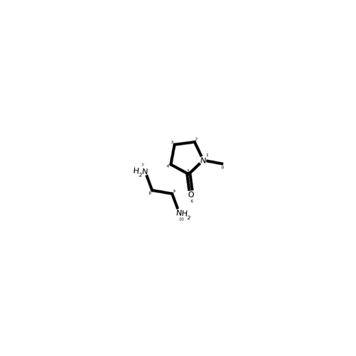 CN1CCCC1=O.NCCN